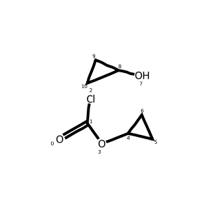 O=C(Cl)OC1CC1.OC1CC1